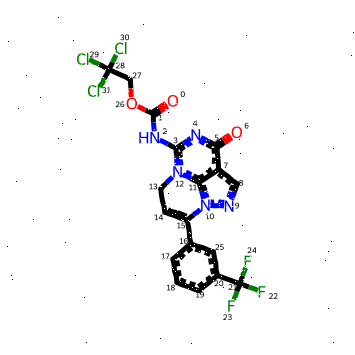 O=C(Nc1nc(=O)c2cnn3c2n1CC=C3c1cccc(C(F)(F)F)c1)OCC(Cl)(Cl)Cl